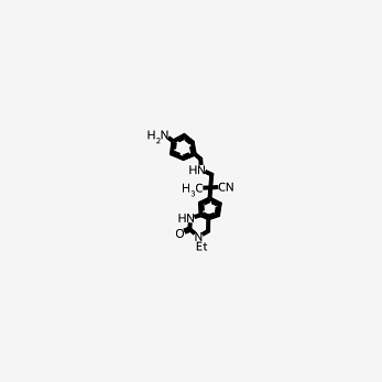 CCN1Cc2ccc(C(C)(C#N)CNCc3ccc(N)cc3)cc2NC1=O